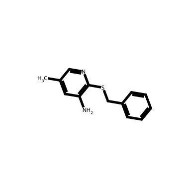 Cc1cnc(SCc2ccccc2)c(N)c1